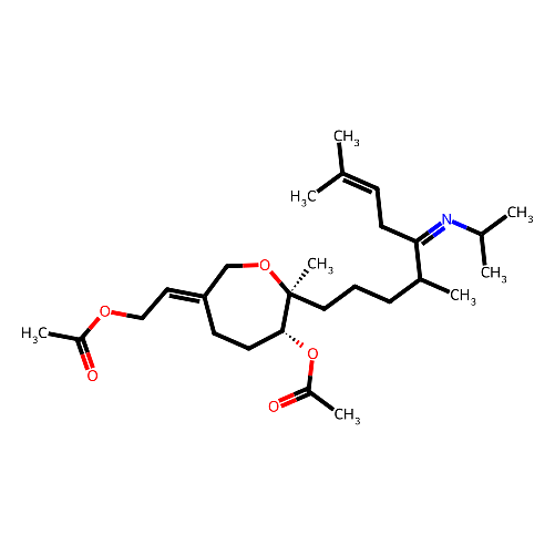 CC(=O)OC/C=C1\CC[C@@H](OC(C)=O)[C@](C)(CCCC(C)/C(CC=C(C)C)=N\C(C)C)OC1